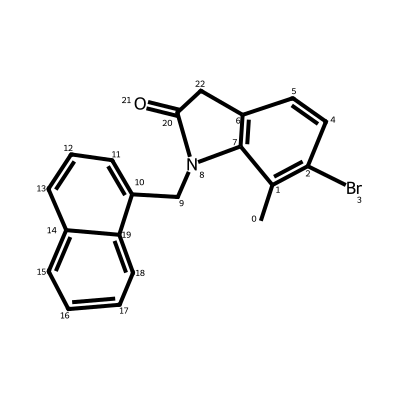 Cc1c(Br)ccc2c1N(Cc1cccc3ccccc13)C(=O)C2